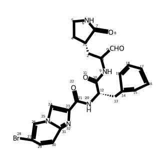 O=CC(C[C@@H]1CCNC1=O)NC(=O)[C@H](Cc1ccccc1)NC(=O)c1cn2cc(Br)ccc2n1